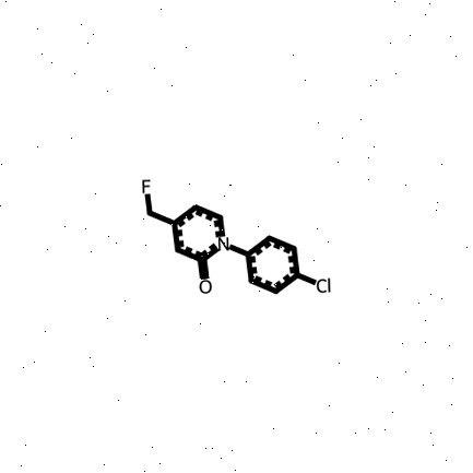 O=c1cc(CF)ccn1-c1ccc(Cl)cc1